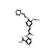 COc1cc(C=CC(=O)Nc2ccccc2C(=O)O)ccc1OCCN1CCOCC1